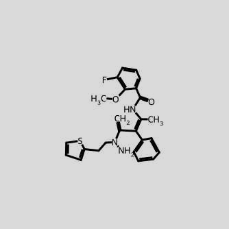 C=C(/C(=C(/C)NC(=O)c1cccc(F)c1OC)c1ccccc1)N(N)CCc1cccs1